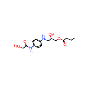 CCCC(=O)OC[C@H](O)CNc1ccc(NC(=O)CO)cc1